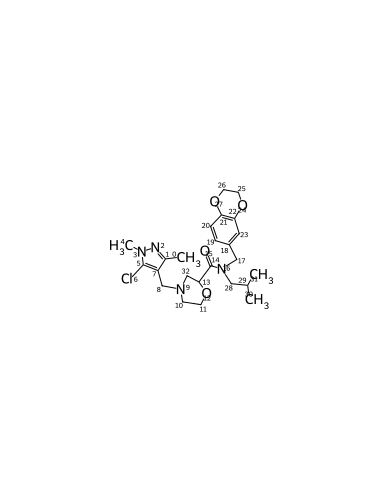 Cc1nn(C)c(Cl)c1CN1CCOC(C(=O)N(Cc2ccc3c(c2)OCCO3)CC(C)C)C1